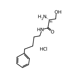 Cl.N[C@H](CO)C(=O)NCCCCc1ccccc1